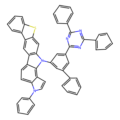 c1ccc(-c2cc(-c3nc(-c4ccccc4)nc(-c4ccccc4)n3)cc(-n3c4cc5sc6ccccc6c5cc4c4ccc5c(ccn5-c5ccccc5)c43)c2)cc1